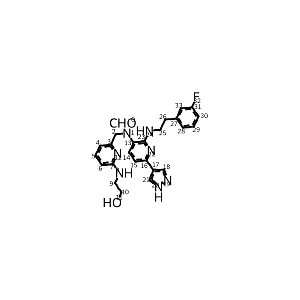 O=CN(Cc1cccc(NCCO)n1)c1ccc(-c2cn[nH]c2)nc1NCCc1cccc(F)c1